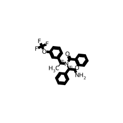 C[C@H](c1cccc(OC(F)(F)F)c1)N(C(=O)c1ccccc1)[C@@H](C(N)=O)c1ccccc1